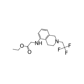 CCOC(=O)CNc1cccc2c1CCN(CC(F)(F)F)C2